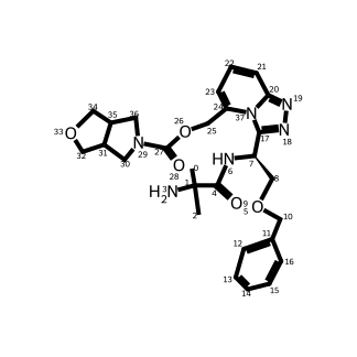 CC(C)(N)C(=O)N[C@H](COCc1ccccc1)c1nnc2cccc(COC(=O)N3CC4COCC4C3)n12